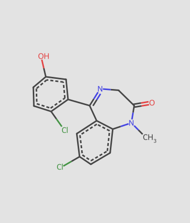 CN1C(=O)CN=C(c2cc(O)ccc2Cl)c2cc(Cl)ccc21